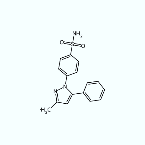 [CH2]c1cc(-c2ccccc2)n(-c2ccc(S(N)(=O)=O)cc2)n1